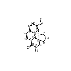 CSc1ncc2c(n1)N1C(C=C2)C(=O)NCC12CCCC2